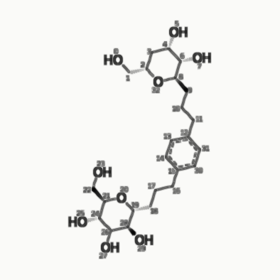 OC[C@@H]1C[C@H](O)[C@H](O)[C@@H](CCCc2ccc(CCC[C@H]3O[C@H](CO)[C@@H](O)C(O)[C@@H]3O)cc2)O1